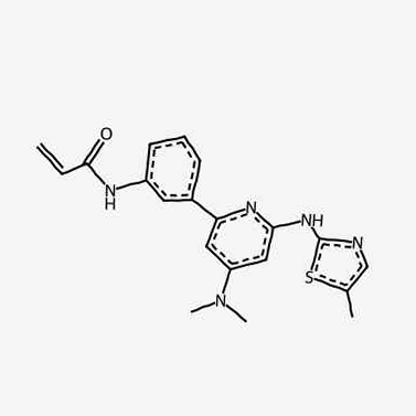 C=CC(=O)Nc1cccc(-c2cc(N(C)C)cc(Nc3ncc(C)s3)n2)c1